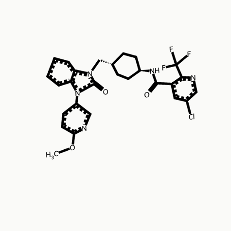 COc1ccc(-n2c(=O)n(C[C@H]3CC[C@H](NC(=O)c4cc(Cl)cnc4C(F)(F)F)CC3)c3ccccc32)cn1